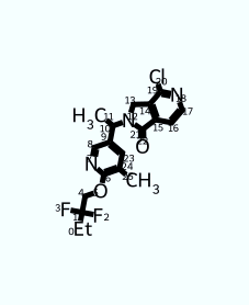 CCC(F)(F)COc1ncc(C(C)N2Cc3c(ccnc3Cl)C2=O)cc1C